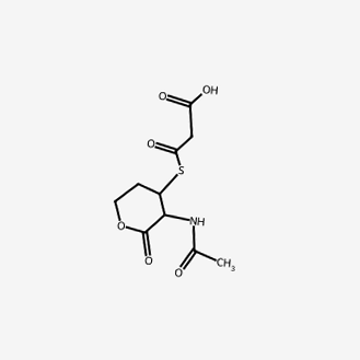 CC(=O)NC1C(=O)OCCC1SC(=O)CC(=O)O